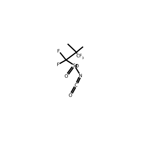 CC(C)(C(F)(F)F)C(F)(F)S(=O)(=O)N=C=O